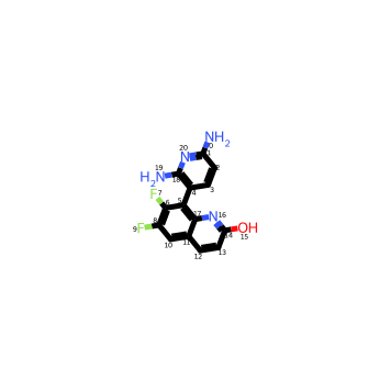 Nc1ccc(-c2c(F)c(F)cc3ccc(O)nc23)c(N)n1